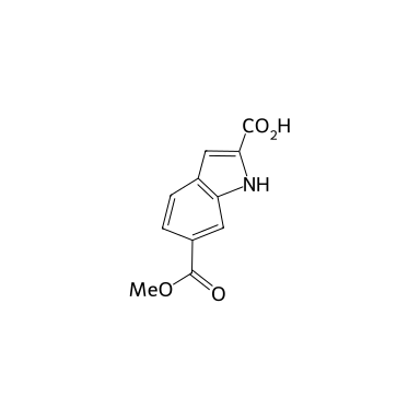 COC(=O)c1ccc2cc(C(=O)O)[nH]c2c1